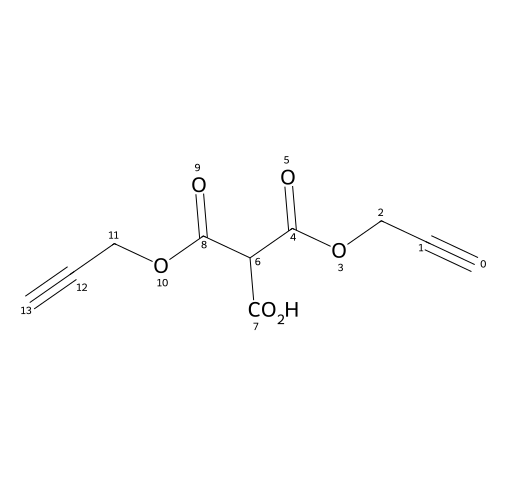 C#CCOC(=O)C(C(=O)O)C(=O)OCC#C